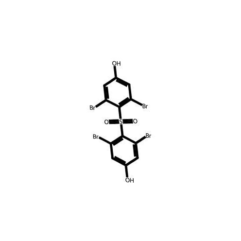 O=S(=O)(c1c(Br)cc(O)cc1Br)c1c(Br)cc(O)cc1Br